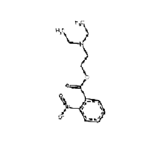 CCN(CC)CCOC(=O)c1ccccc1[N+](=O)[O-]